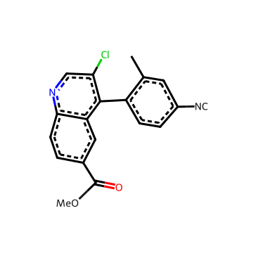 [C-]#[N+]c1ccc(-c2c(Cl)cnc3ccc(C(=O)OC)cc23)c(C)c1